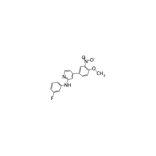 COc1ccc(-c2ccnc(Nc3cccc(F)c3)c2)cc1[N+](=O)[O-]